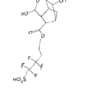 O=C(OCCC(F)(F)C(F)(F)S(=O)(=O)O)C1C2CC3C(OC(O)C31)C2O